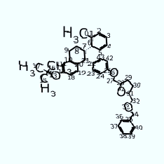 CC1C=CC=CC1[C@H]1CCc2cc(OC(C)(C)C)ccc2[C@H]1c1ccc(OC[C@H]2CC[C@@H](COCc3ccccc3)O2)cc1